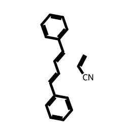 C(C=Cc1ccccc1)=Cc1ccccc1.C=CC#N